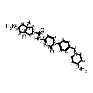 NC1CCN(Cc2ccc(-n3ccc(NC(=O)N4C[C@H]5C[C@H](N)C[C@H]5C4)nc3=O)cc2)CC1